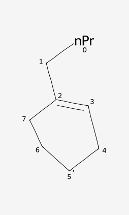 CCCCC1=CC[CH]CC1